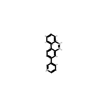 c1cncc(-c2ccc3c(c2)nnc2ccccc23)c1